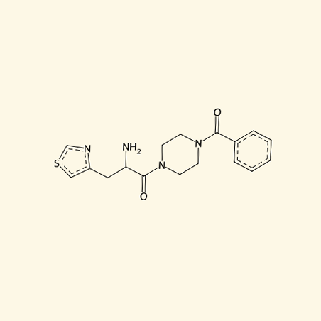 NC(Cc1cscn1)C(=O)N1CCN(C(=O)c2ccccc2)CC1